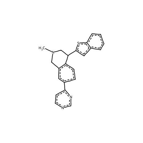 CN1Cc2cc(-c3ccncn3)ccc2C(c2cc3ccccc3s2)C1